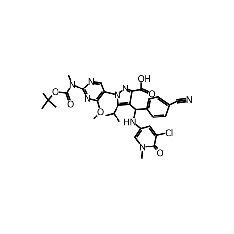 COc1nc(N(C)C(=O)OC(C)(C)C)ncc1-n1nc(C(=O)O)c(C(Nc2cc(Cl)c(=O)n(C)c2)c2ccc(C#N)cc2)c1C(C)C